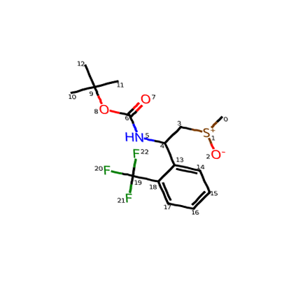 C[S+]([O-])CC(NC(=O)OC(C)(C)C)c1ccccc1C(F)(F)F